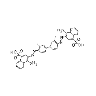 Cc1cc(-c2ccc(/N=N/c3cc(S(=O)(=O)O)c4ccccc4c3N)c(C)c2)ccc1/N=N/c1cc(S(=O)(=O)O)c2ccccc2c1N